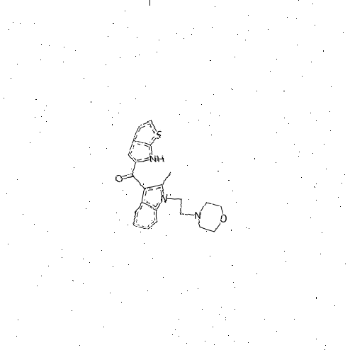 Cc1c(C(=O)c2cc3ccsc3[nH]2)c2ccccc2n1CCN1CCOCC1